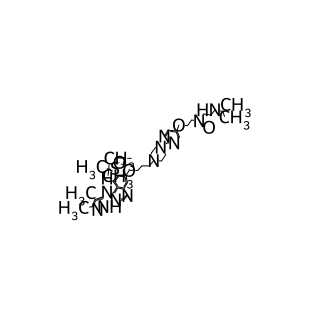 Cc1n[nH]c(Nc2ncnc3cc(OCCCN4CCN(c5ncc(OCCN(C=O)CCNC(C)C)cn5)CC4)c([S+]([O-])C(C)(C)C)cc23)c1C